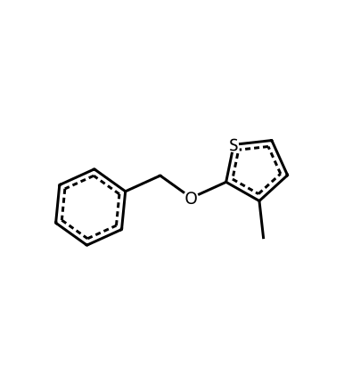 Cc1ccsc1OCc1ccccc1